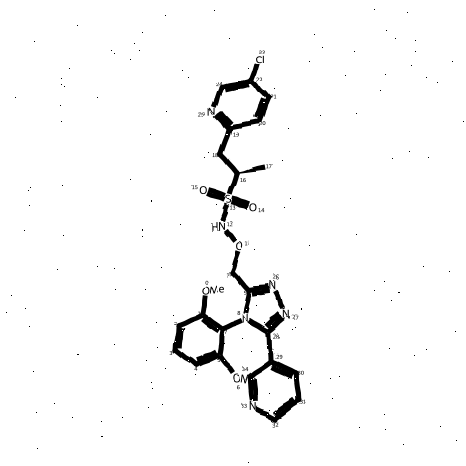 COc1cccc(OC)c1-n1c(CONS(=O)(=O)[C@H](C)Cc2ccc(Cl)cn2)nnc1-c1cccnc1